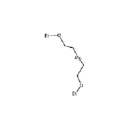 CCOC[CH2][Mg][CH2]COCC